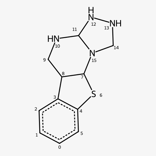 c1ccc2c(c1)SC1C2CNC2NNCN21